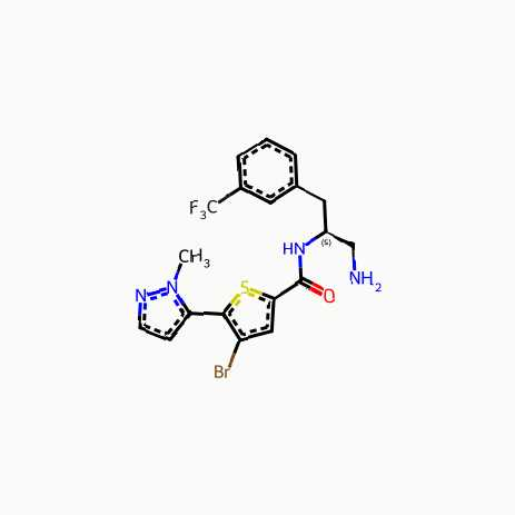 Cn1nccc1-c1sc(C(=O)N[C@H](CN)Cc2cccc(C(F)(F)F)c2)cc1Br